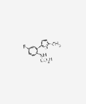 Cc1ccc(-c2cc(F)ccc2NC(=O)O)o1